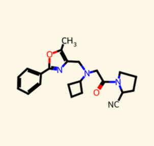 Cc1oc(-c2ccccc2)nc1CN(CC(=O)N1CCCC1C#N)C1CCC1